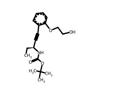 CC[C@@H](C#Cc1ccccc1OCCO)NC(=O)OC(C)(C)C